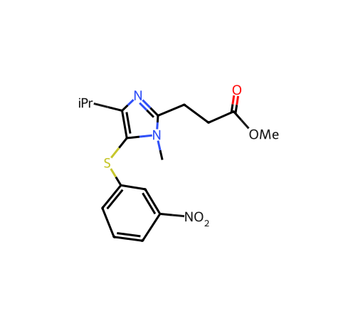 COC(=O)CCc1nc(C(C)C)c(Sc2cccc([N+](=O)[O-])c2)n1C